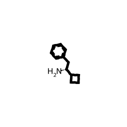 N[C@H](Cc1ccccc1)C1CCC1